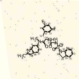 Cc1nc2cc(N(C)C(=O)[C@H](Cc3cc(F)cc(F)c3)NC(=O)NS(=O)(=O)N3CCc4cccnc43)ccc2s1